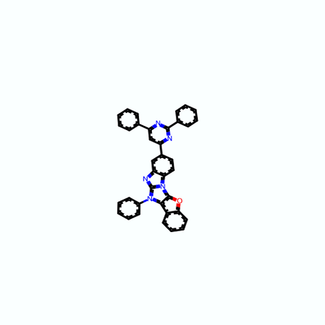 c1ccc(-c2cc(-c3ccc4c(c3)nc3n(-c5ccccc5)c5c6ccccc6oc5n43)nc(-c3ccccc3)n2)cc1